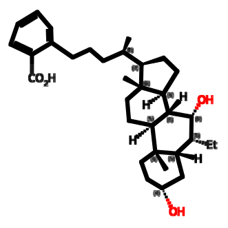 CC[C@H]1[C@@H](O)[C@@H]2[C@H](CC[C@]3(C)[C@@H]([C@H](C)CCCc4ccccc4C(=O)O)CC[C@@H]23)[C@@]2(C)CC[C@@H](O)C[C@@H]12